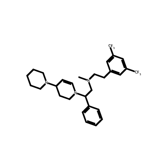 CN(CCc1cc(C(F)(F)F)cc(C(F)(F)F)c1)CC(c1ccccc1)N1C=CC(N2CCCCC2)CC1